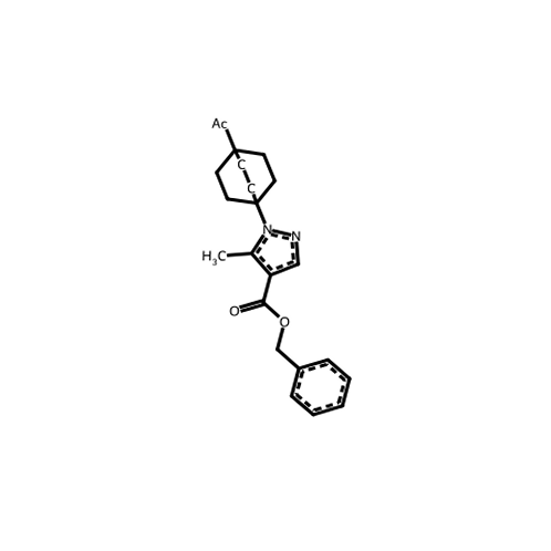 CC(=O)C12CCC(n3ncc(C(=O)OCc4ccccc4)c3C)(CC1)CC2